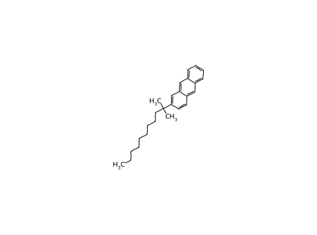 CCCCCCCCCC(C)(C)c1ccc2cc3ccccc3cc2c1